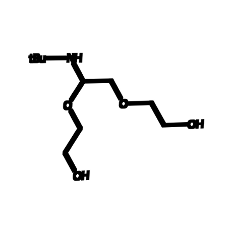 CC(C)(C)NC(COCCO)OCCO